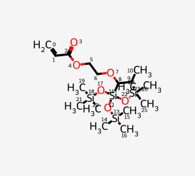 C=CC(=O)OCCOC(CC)[Si](O[Si](C)(C)C)(O[Si](C)(C)C)O[Si](C)(C)C